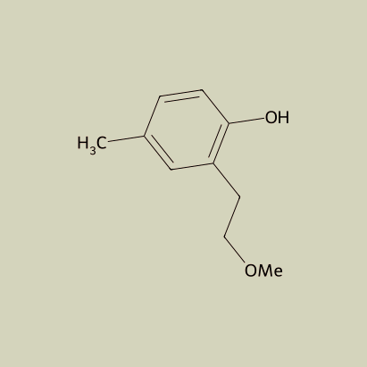 COCCc1cc(C)ccc1O